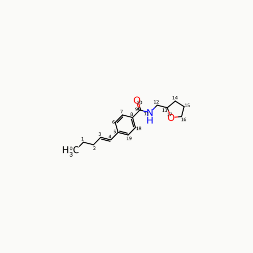 CCC/C=C/c1ccc(C(=O)NCC2CCCO2)cc1